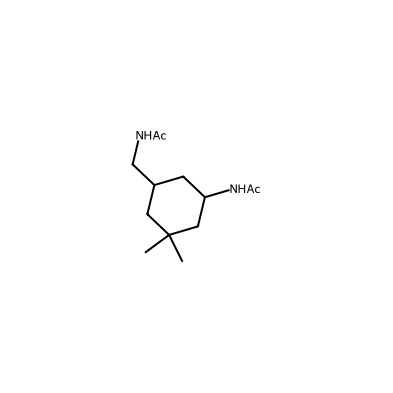 CC(=O)NCC1CC(NC(C)=O)CC(C)(C)C1